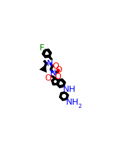 CC(C1CC1)N(Cc1ccc(F)cc1)C(=O)CN1C(=O)OC2(CCc3cc(NC4CCCC(N)C4)ccc32)C1=O